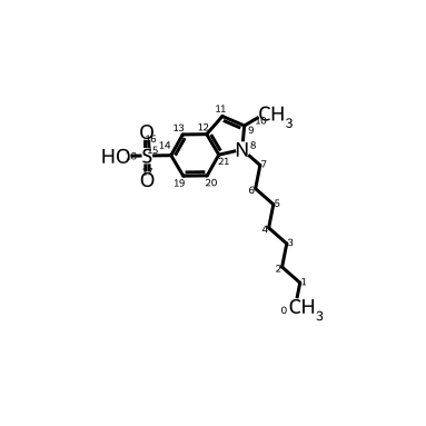 CCCCCCCCn1c(C)cc2cc(S(=O)(=O)O)ccc21